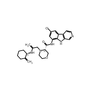 C=C(CN1CCOC[C@H]1C(=O)Nc1cc(Cl)cc2c1[nH]c1cnccc12)N[C@@H]1CCCCC1=C